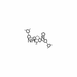 Cc1cc(C)cc(-c2ccc(N)c(-c3cc4c5c(c3)CCc3c-5c(cc5c6cc(-c7cc(C)cc(C)c7)ccc6n(-c6ccccc6)c35)CC4)c2)c1